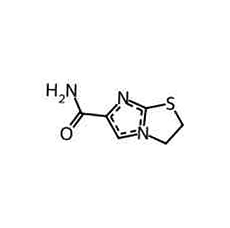 NC(=O)c1cn2c(n1)SCC2